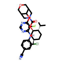 CC(C)[C@@H]1CC[C@@H](C)C[C@H]1OC(=O)N1CC2COCC(C1)C2Oc1ncnc(Nc2ccc(C#N)cc2Cl)c1F